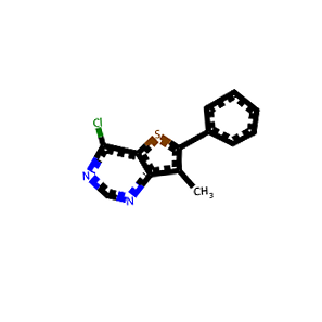 Cc1c(-c2ccccc2)sc2c(Cl)ncnc12